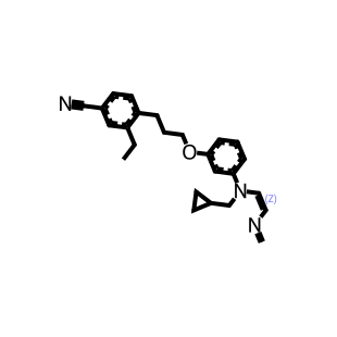 C=N/C=C\N(CC1CC1)c1cccc(OCCCc2ccc(C#N)cc2CC)c1